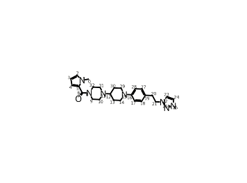 Cn1cccc1C(=O)N1CCN(C2CCN(c3ccc(CCn4ccnn4)cc3)CC2)CC1